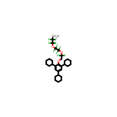 O=S(=O)(O)C(F)(F)C(F)(F)OC(F)(F)C(F)(F)OC(F)(F)COc1c(C2CCCCC2)cc(C2CCCCC2)cc1C1CCCCC1